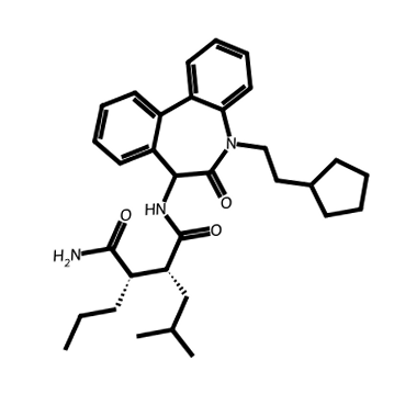 CCC[C@H](C(N)=O)[C@@H](CC(C)C)C(=O)NC1C(=O)N(CCC2CCCC2)c2ccccc2-c2ccccc21